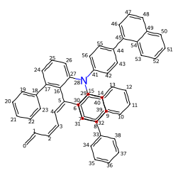 C=C/C=C\C=C(/c1ccc2ccccc2c1)c1c(-c2ccccc2)cccc1N(c1ccc(-c2ccccc2)cc1)c1ccc(-c2cccc3ccccc23)cc1